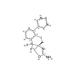 NC1=N[C@]2(CCc3c(-c4cncnc4)cccc3C2(F)F)CO1